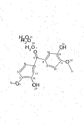 COc1ccc(C(=O)c2ccc(OC)c(O)c2)cc1O.O.O.O